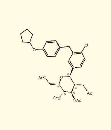 CC(=O)C[C@@H]1[C@@H](OC(C)=O)[C@H](OC(C)=O)[C@@H](COC(C)=O)O[C@H]1c1ccc(Cl)c(Cc2ccc(OC3CCCC3)cc2)c1